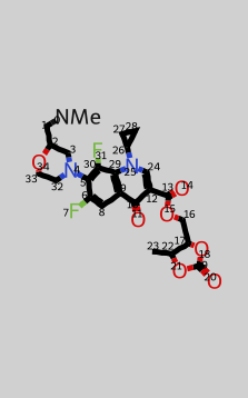 CNCC1CN(c2c(F)cc3c(=O)c(C(=O)OCC4OC(=O)OC4C)cn(C4CC4)c3c2F)CCO1